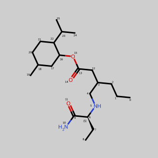 CCCC(CN[C@@H](CC)C(N)=O)CC(=O)OC1CC(C)CCC1C(C)C